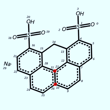 O=S(=O)(O)c1ccc2ccccc2c1Cc1c(S(=O)(=O)O)ccc2ccccc12.[Na]